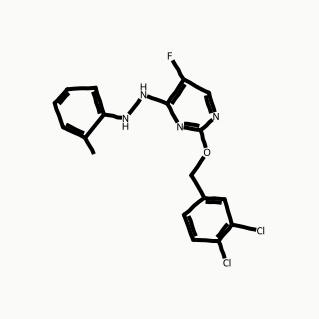 Cc1ccccc1NNc1nc(OCc2ccc(Cl)c(Cl)c2)ncc1F